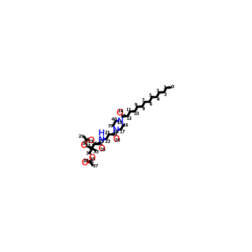 CCCCCCCCCCCCCC(=O)N1CCN(C(=O)CCNC(=O)C(OC(C)=O)C(C)(C)COC(C)=O)CC1